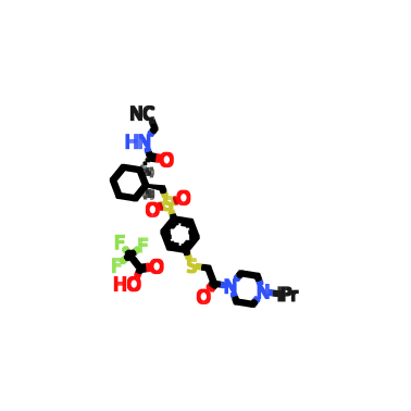 CC(C)N1CCN(C(=O)CSc2ccc(S(=O)(=O)C[C@H]3CCCC[C@@H]3C(=O)NCC#N)cc2)CC1.O=C(O)C(F)(F)F